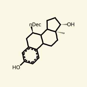 CCCCCCCCCC[C@@H]1Cc2cc(O)ccc2C2CC[C@@]3(C)C(CC[C@@H]3O)C21